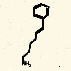 NCCCCC=Cc1ccccc1